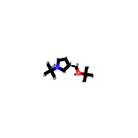 CC(C)(C)OC[C@H]1CCN(C(C)(C)C)C1